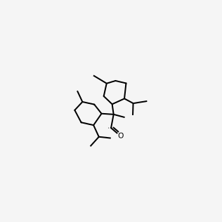 CC1CCC(C(C)C)C(C(C)([C]=O)C2CC(C)CCC2C(C)C)C1